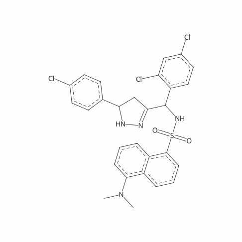 CN(C)c1cccc2c(S(=O)(=O)NC(C3=NNC(c4ccc(Cl)cc4)C3)c3ccc(Cl)cc3Cl)cccc12